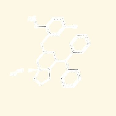 COc1ccc(Br)cc1CN1CC(C(c2ccccc2)c2ccccc2)N2CCC[C@H]2C1.Cl.Cl